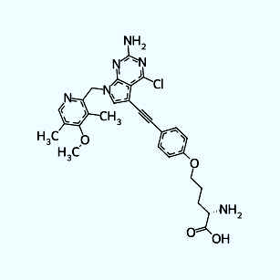 COc1c(C)cnc(Cn2cc(C#Cc3ccc(OCCC[C@H](N)C(=O)O)cc3)c3c(Cl)nc(N)nc32)c1C